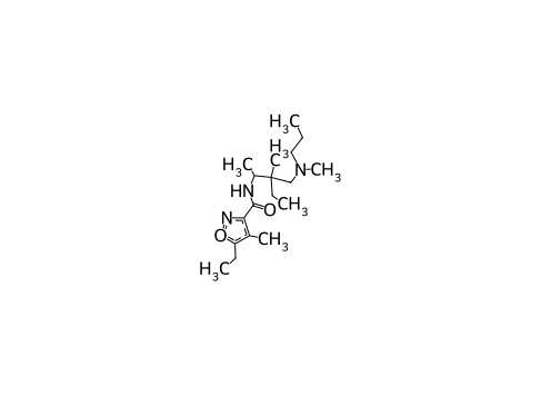 CCCN(C)CC(C)(CC)C(C)NC(=O)c1noc(CC)c1C